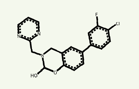 OC1Oc2ccc(-c3ccc(Cl)c(F)c3)cc2CN1Cc1ncccn1